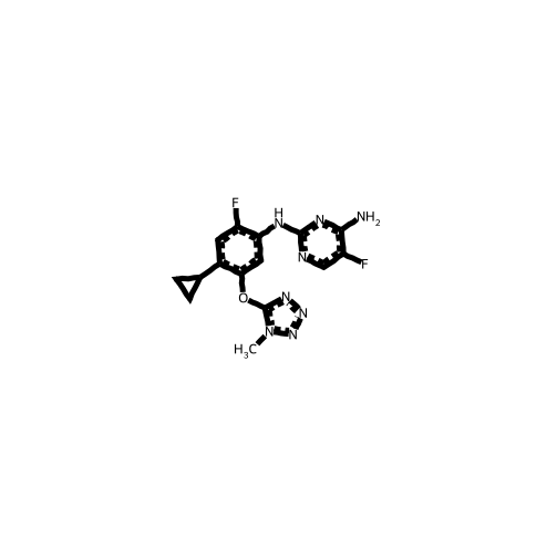 Cn1nnnc1Oc1cc(Nc2ncc(F)c(N)n2)c(F)cc1C1CC1